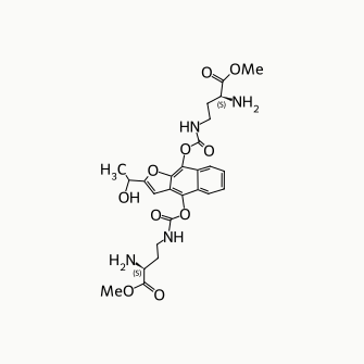 COC(=O)[C@@H](N)CCNC(=O)Oc1c2ccccc2c(OC(=O)NCC[C@H](N)C(=O)OC)c2oc(C(C)O)cc12